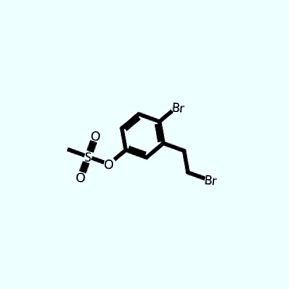 CS(=O)(=O)Oc1ccc(Br)c(CCBr)c1